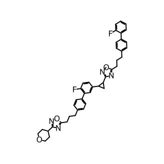 Fc1ccccc1-c1ccc(CCCc2nc(C3CC3c3ccc(F)c(-c4ccc(CCCc5nc(C6CCOCC6)no5)cc4)c3)no2)cc1